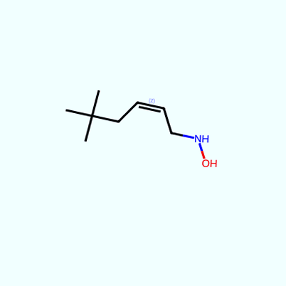 CC(C)(C)C/C=C\CNO